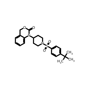 CC(C)(C)c1ccc(S(=O)(=O)N2CCC(N3C(=O)OCc4ccccc43)CC2)cc1